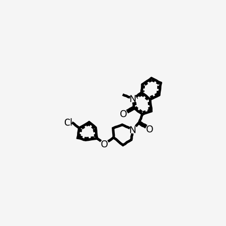 Cn1c(=O)c(C(=O)N2CCC(Oc3ccc(Cl)cc3)CC2)cc2ccccc21